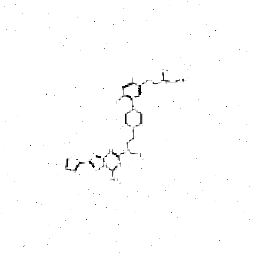 CN(CCN1CCN(c2cc(OC[C@@H](O)CO)c(F)cc2F)CC1)c1nc(N)n2nc(-c3ccco3)nc2n1